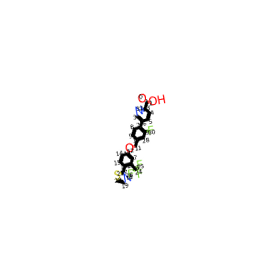 O=C(O)c1ccc(-c2ccc(COc3ccc(-c4nccs4)c(C(F)(F)F)c3)cc2F)cn1